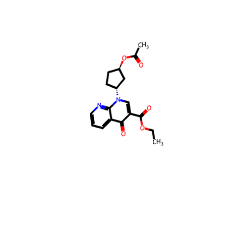 CCOC(=O)c1cn([C@@H]2CC[C@@H](OC(C)=O)C2)c2ncccc2c1=O